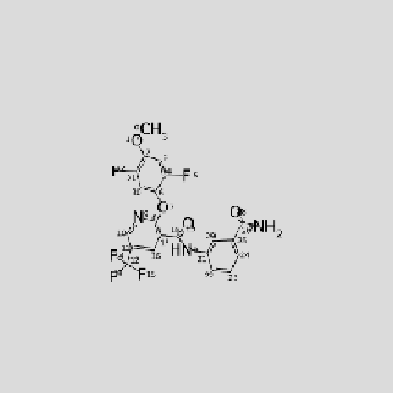 COc1cc(F)c(Oc2ncc(C(F)(F)F)cc2C(=O)Nc2cccc(C(N)=O)c2)cc1F